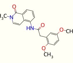 COc1ccc(OC)c(CC(=O)Nc2cccc3c(=O)n(C)ccc23)c1